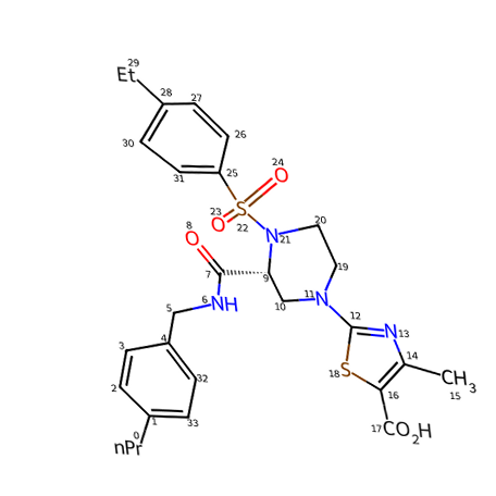 CCCc1ccc(CNC(=O)[C@H]2CN(c3nc(C)c(C(=O)O)s3)CCN2S(=O)(=O)c2ccc(CC)cc2)cc1